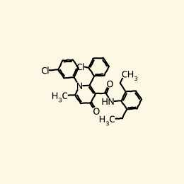 CCc1cccc(CC)c1NC(=O)c1c(-c2ccccc2Cl)n(-c2cccc(Cl)c2)c(C)cc1=O